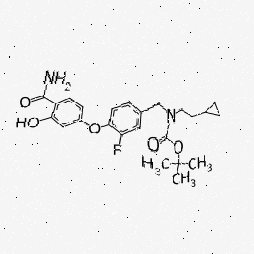 CC(C)(C)OC(=O)N(CCC1CC1)Cc1ccc(Oc2ccc(C(N)=O)c(O)c2)c(F)c1